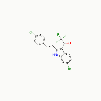 O=C(c1c(CCc2ccc(Cl)cc2)[nH]c2cc(Br)ccc12)C(F)(F)F